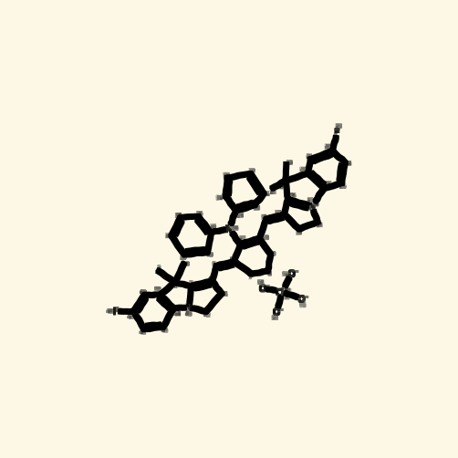 CC1(C)C2=C(C=C3CCCC(C=C4CC[N+]5=C4C(C)(C)c4cc(F)ccc45)=C3N(c3ccccc3)c3ccccc3)CCN2c2ccc(F)cc21.[O-][Cl+3]([O-])([O-])[O-]